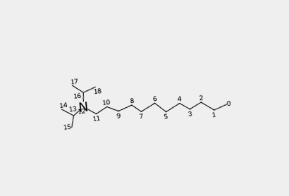 CCCCCCCCCCCCN(C(C)C)C(C)C